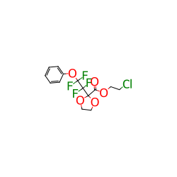 O=C(OCCCl)C1(C(F)(F)C(F)(F)Oc2ccccc2)OCCO1